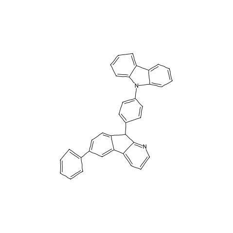 c1ccc(-c2ccc3c(c2)-c2cccnc2C3c2ccc(-n3c4ccccc4c4ccccc43)cc2)cc1